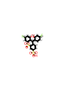 O=S(=O)([O-])c1cc(S(=O)(=O)O)ccc1-c1c2ccc(F)cc2[o+]c2cc(F)ccc12